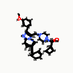 COc1cccc(-c2nc3ccc(-c4ccccc4)cn3c2CN2CCN(C(=O)C3CCC3)CC2)c1